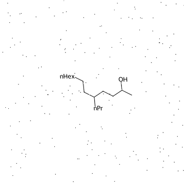 CCCCCCCCC(CCC)CCC(C)O